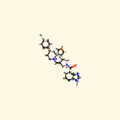 Cn1cnc2c(C(=O)N3C[C@@H](CN4CCC(c5ccc(F)cc5)CC4)[C@H](c4ccsc4)C3)cccc21